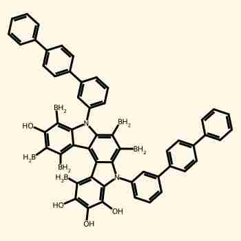 Bc1c(O)c(B)c2c(c1B)c1c3c4c(B)c(O)c(O)c(O)c4n(-c4cccc(-c5ccc(-c6ccccc6)cc5)c4)c3c(B)c(B)c1n2-c1cccc(-c2ccc(-c3ccccc3)cc2)c1